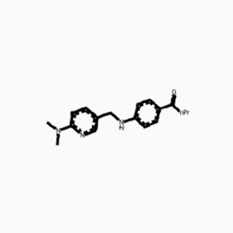 CCCC(=O)c1ccc(NCc2ccc(N(C)C)nc2)cc1